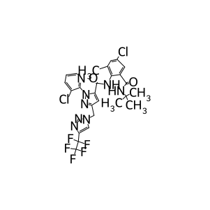 Cc1cc(Cl)cc(C(=O)NC(C)(C)C)c1NC(=O)c1cc(Cn2cc(C(F)(F)C(F)(F)F)nn2)nn1-c1ncccc1Cl